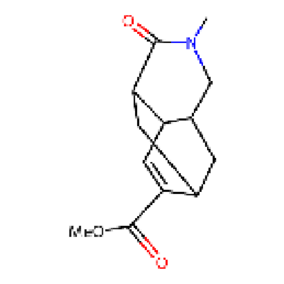 COC(=O)C1=CC2C3CC1CC2C(=O)N(C)C3